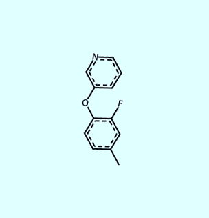 Cc1ccc(Oc2cccnc2)c(F)c1